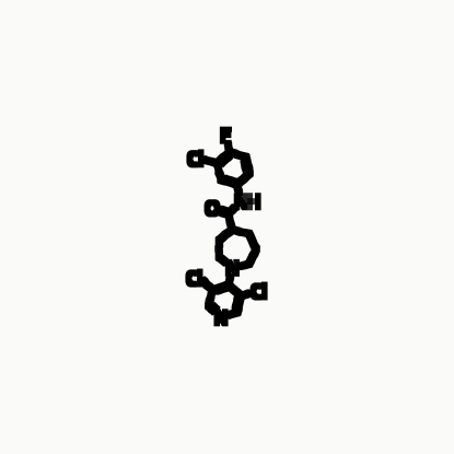 O=C(Nc1ccc(F)c(Cl)c1)C1CCCN(c2c(Cl)cncc2Cl)CC1